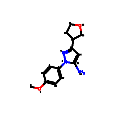 COc1ccc(-n2nc(C3CCOC3)cc2N)cc1